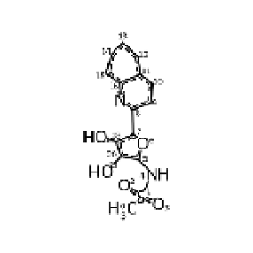 CS(=O)(=O)Nc1oc(-c2ccc3ccccc3n2)c(O)c1O